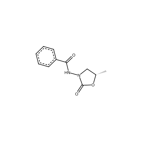 C[C@H]1CN(NC(=O)c2ccccc2)C(=O)O1